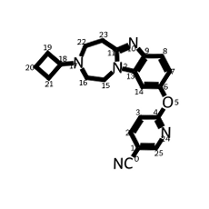 N#Cc1ccc(Oc2ccc3nc4n(c3c2)CCN(C2CCC2)CC4)nc1